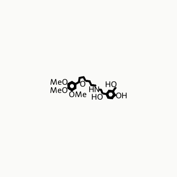 COc1cc(C2CCC(CCCNCC(O)c3ccc(O)c(CO)c3)O2)cc(OC)c1OC